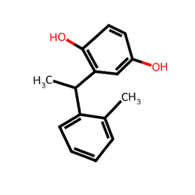 Cc1ccccc1C(C)c1cc(O)ccc1O